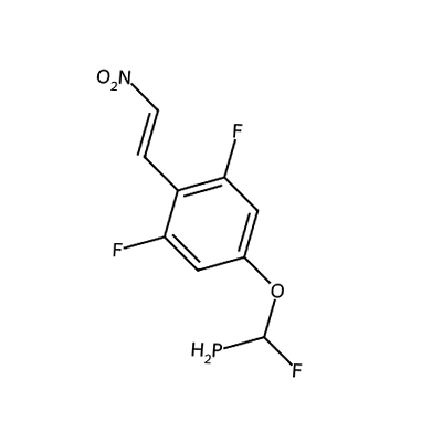 O=[N+]([O-])/C=C/c1c(F)cc(OC(F)P)cc1F